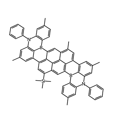 Cc1ccc2c(c1)N(c1ccccc1)c1cc(C)cc3c1B2c1cc2c([Si](C)(C)C)cc4c5c(cc6c(C)cc-3c1c6c25)B1c2ccc(C)cc2N(c2ccccc2)c2cc(C)cc-4c21